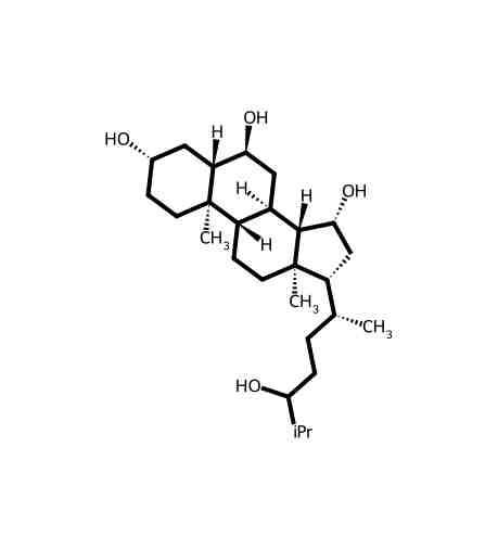 CC(C)C(O)CC[C@@H](C)[C@H]1C[C@@H](O)[C@H]2[C@@H]3C[C@H](O)[C@H]4C[C@@H](O)CC[C@]4(C)[C@H]3CC[C@@]21C